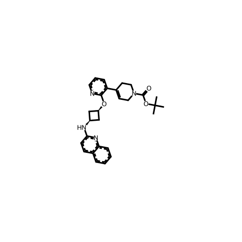 CC(C)(C)OC(=O)N1CC=C(c2cccnc2O[C@H]2C[C@@H](Nc3ccc4ccccc4n3)C2)CC1